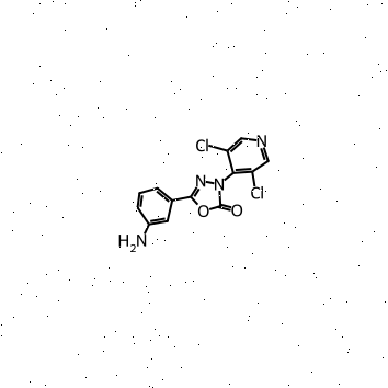 Nc1cccc(-c2nn(-c3c(Cl)cncc3Cl)c(=O)o2)c1